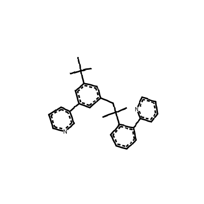 CC(C)(C)c1cc(CC(C)(C)c2ccccc2-c2ccccn2)cc(-c2cccnc2)c1